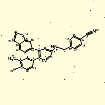 Cc1cc(-c2ncc(NCc3ccc(C#N)cc3)cc2-c2ccc3ncsc3c2)ccc1F